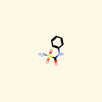 NS(=O)(=O)C(=O)Nc1ccccc1